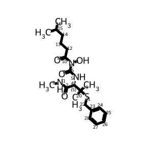 CNC(=O)[C@H](NC(=O)N(O)C(=O)CCCC(C)C)C(C)(C)SCc1ccccc1